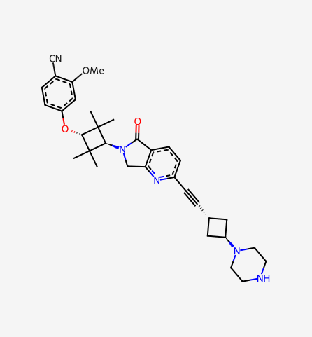 COc1cc(O[C@H]2C(C)(C)[C@H](N3Cc4nc(C#C[C@H]5C[C@H](N6CCNCC6)C5)ccc4C3=O)C2(C)C)ccc1C#N